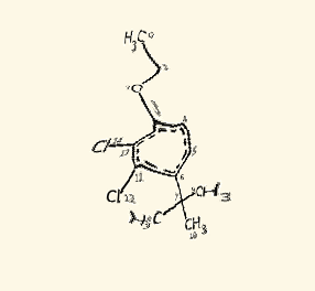 CCOc1ccc(C(C)(C)C)c(Cl)c1Cl